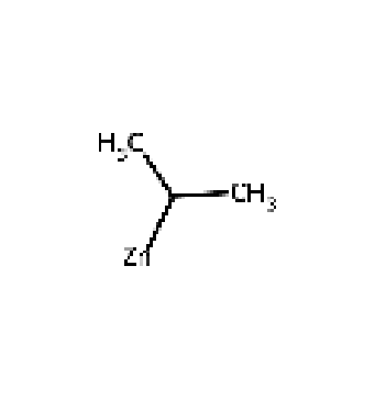 C[CH](C)[Zn]